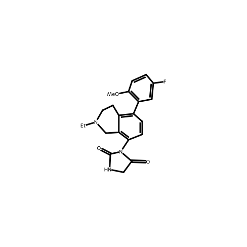 CCN1CCc2c(-c3cc(F)ccc3OC)ccc(N3C(=O)CNC3=O)c2C1